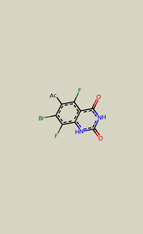 CC(=O)c1c(Br)c(F)c2[nH]c(=O)[nH]c(=O)c2c1F